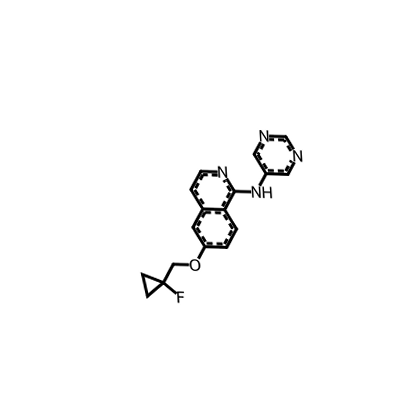 FC1(COc2ccc3c(Nc4cncnc4)nccc3c2)CC1